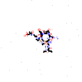 C=C(C)N/C1=C(\S[C@@H]2CCN(C(=O)CCNC(=O)C(C)CC(=O)O)C2)NC(=O)[C@H]([C@@H](C)[C@@H](O)CO)NC(=O)[C@@H]2C[C@@H](O)CN2C(=O)[C@H](CC(N)=O)NC(=O)[C@@H](NC(=O)CNC(=O)[C@@H](NC(=O)CC)[C@@H](C)CC)C[S+]1[O-]